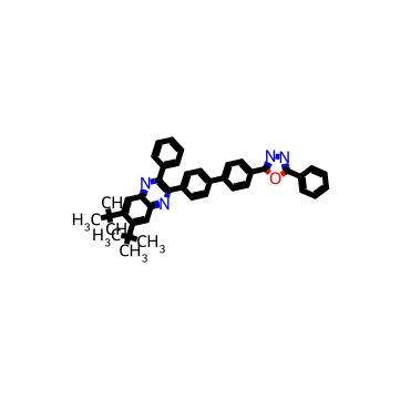 CC(C)(C)c1cc2nc(-c3ccccc3)c(-c3ccc(-c4ccc(-c5nnc(-c6ccccc6)o5)cc4)cc3)nc2cc1C(C)(C)C